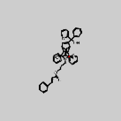 O=C(C=Cc1ccccc1)OCCCN1C(=O)C2C3C=C(C(O)(c4ccccc4)c4ccccn4)C(C3=C(c3ccccc3)c3ccccn3)C2C1=O